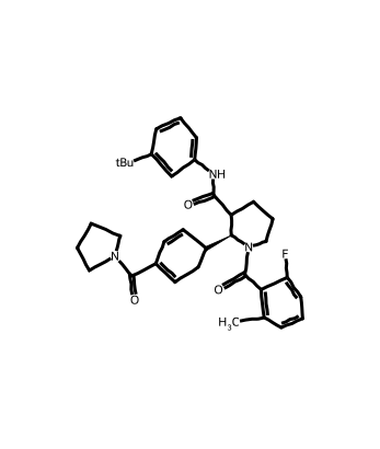 Cc1cccc(F)c1C(=O)N1CCCC(C(=O)Nc2cccc(C(C)(C)C)c2)[C@@H]1C1C=CC(C(=O)N2CCCC2)=CC1